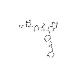 O=C(Nc1cc2[nH]ncc2cc1-c1cccc(CNCc2ccccc2)c1)c1csc(-c2cc(C(F)(F)F)n[nH]2)n1